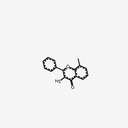 Cc1cccc2c(=O)c(S)c(-c3ccccc3)oc12